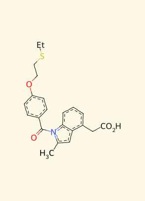 CCSCCOc1ccc(C(=O)n2c(C)cc3c(CC(=O)O)cccc32)cc1